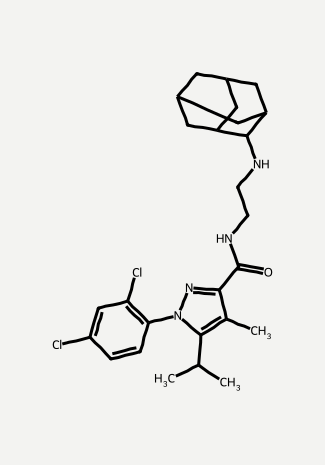 Cc1c(C(=O)NCCNC2C3CC4CC(C3)CC2C4)nn(-c2ccc(Cl)cc2Cl)c1C(C)C